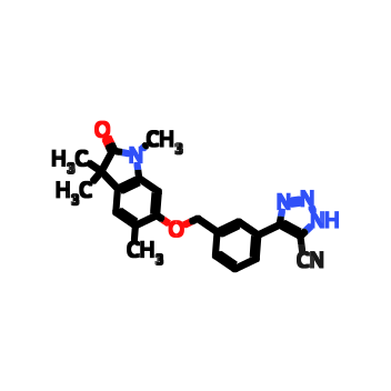 Cc1cc2c(cc1OCc1cccc(-c3nn[nH]c3C#N)c1)N(C)C(=O)C2(C)C